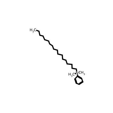 CCCCCCCCCCCCCCCCCC[N+](C)(C)c1ccccc1